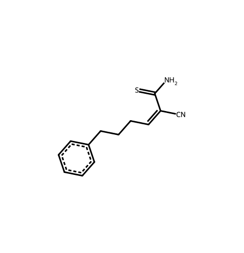 N#CC(=CCCCc1ccccc1)C(N)=S